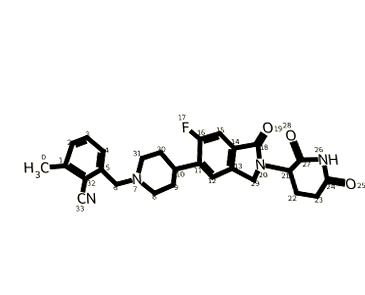 Cc1cccc(CN2CCC(c3cc4c(cc3F)C(=O)N(C3CCC(=O)NC3=O)C4)CC2)c1C#N